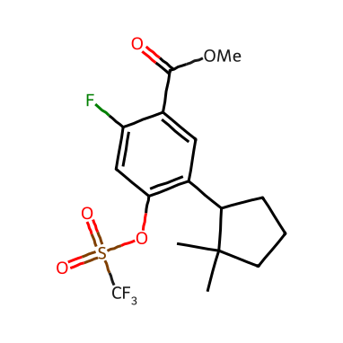 COC(=O)c1cc(C2CCCC2(C)C)c(OS(=O)(=O)C(F)(F)F)cc1F